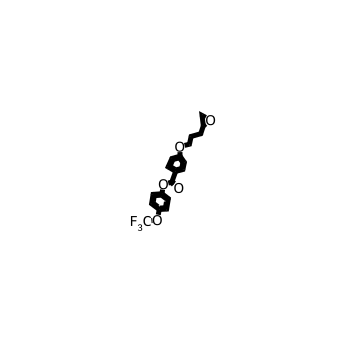 O=C(Oc1ccc(OC(F)(F)F)cc1)c1ccc(OCCCC2CO2)cc1